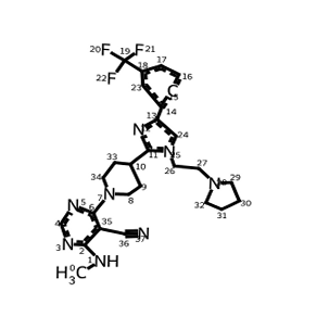 CNc1ncnc(N2CCC(c3nc(-c4cccc(C(F)(F)F)c4)cn3CCN3CCCC3)CC2)c1C#N